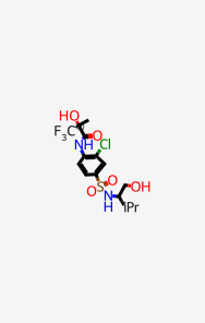 CC(C)C(CO)NS(=O)(=O)c1ccc(NC(=O)[C@@](C)(O)C(F)(F)F)c(Cl)c1